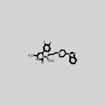 CC1=CC(c2ccc(F)c(F)c2)N(N(C=O)CCCN2CCC(n3cnc4ccccc43)CC2)C(=O)N1